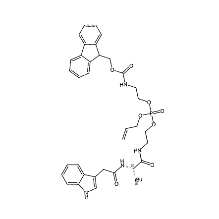 C=CCOP(=O)(OCCNC(=O)OCC1c2ccccc2-c2ccccc21)OCCNC(=O)[C@@H](NC(=O)Cc1c[nH]c2ccccc12)[C@@H](C)CC